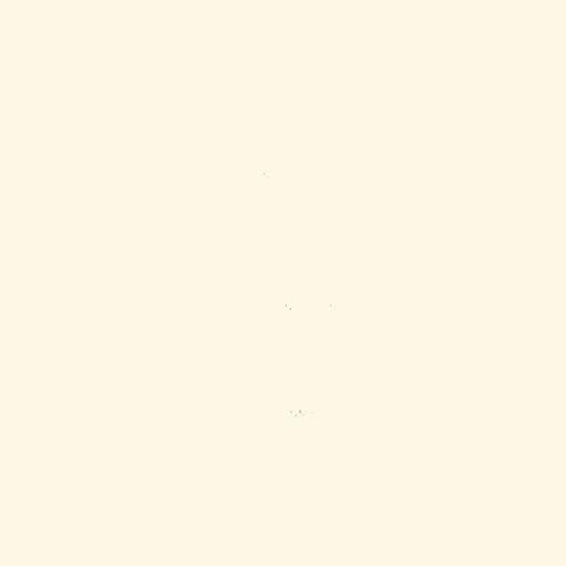 CNc1cccc(N(C=O)CCCCN(C)C)c1